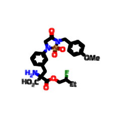 CCC(F)COC(=O)C(N)(Cc1cccc(N2CC(=O)N(Cc3ccc(OC)cc3)S2(=O)=O)c1)C(=O)O